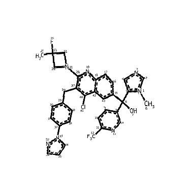 Cn1cncc1C(O)(c1ccc(C(F)(F)F)nc1)c1ccc2nc(N3CC(C)(F)C3)c(Cc3ccc(-n4cccn4)cc3)c(Cl)c2c1